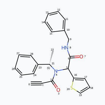 C#CC(=O)N(C(C(=O)NCc1ccccc1)c1cccs1)[C@@H](C)c1ccccc1